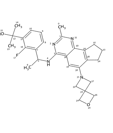 Cc1nc(NC(C)c2cccc(C(C)(C)O)c2F)c2cc(N3CC4(COC4)C3)c3c(c2n1)CCC3